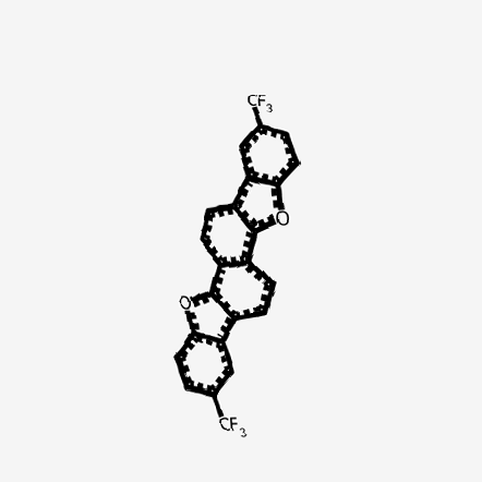 FC(F)(F)c1ccc2oc3c(ccc4c3ccc3c5cc(C(F)(F)F)ccc5oc34)c2c1